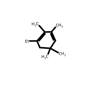 CCC1=C(C)C(C)=CC(C)(C)C1